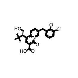 CC(C)(C)[C@@H](CO)c1cc(C(=O)O)c(=O)n2cc(Cc3cccc(Cl)c3Cl)ccc12